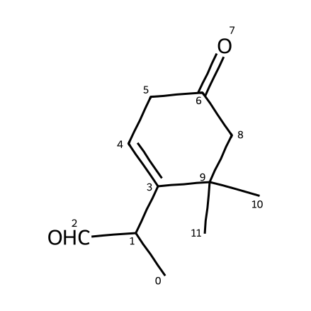 CC(C=O)C1=CCC(=O)CC1(C)C